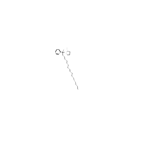 CCCCCCCCCCCCCCCCCCC(CC)(c1ccccc1)N1CCCC1